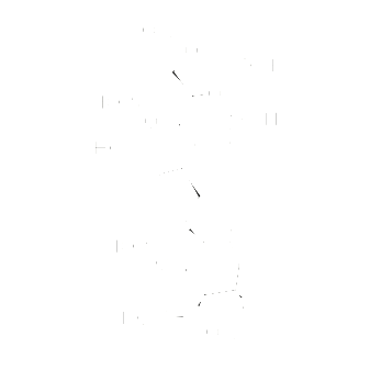 O=S(=O)(O)OC[C@@H](OS(=O)(=O)O)[C@@H](OS(=O)(=O)O)[C@H](OS(=O)(=O)O)[C@@H](CO[C@H]1OC[C@@H](OS(=O)(=O)O)[C@@H](OS(=O)(=O)O)[C@@H]1OS(=O)(=O)O)OS(=O)(=O)O